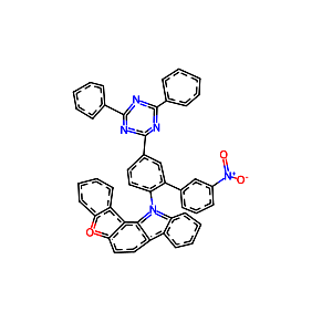 O=[N+]([O-])c1cccc(-c2cc(-c3nc(-c4ccccc4)nc(-c4ccccc4)n3)ccc2-n2c3ccccc3c3ccc4oc5ccccc5c4c32)c1